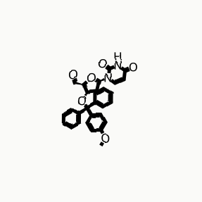 COc1ccc(C(O[C@@H]2C[C@H](n3ccc(=O)[nH]c3=O)O[C@@H]2C=O)(c2ccccc2)c2ccccc2)cc1